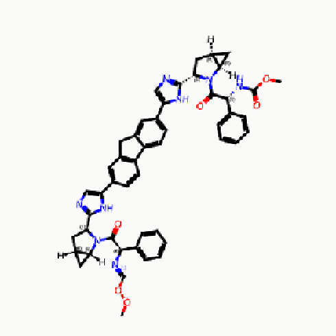 COO/C=N/[C@@H](C(=O)N1[C@@H]2C[C@@H]2C[C@H]1c1ncc(-c2ccc3c(c2)Cc2cc(-c4cnc([C@@H]5C[C@H]6C[C@H]6N5C(=O)[C@H](NC(=O)OC)c5ccccc5)[nH]4)ccc2-3)[nH]1)c1ccccc1